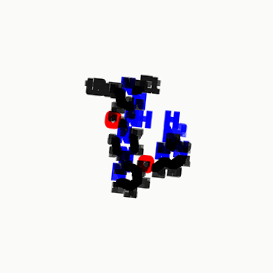 CCc1nc(NC(=O)N2CCN(c3ncccc3OCc3ccnc(N)n3)CC2)cc(C(C)(C)C)n1